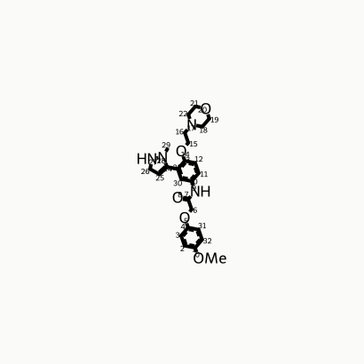 COc1ccc(OCC(=O)Nc2ccc(OCCN3CCOCC3)c(C3=CCNN3C)c2)cc1